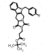 CC(C)(C)OC(=O)CCN1C(=O)C2Cc3c(n(Cc4ccc(F)cc4)c4ccccc34)CN2C1=S